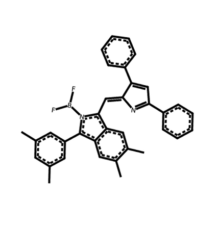 Cc1cc(C)cc(-c2c3cc(C)c(C)cc3c(/C=C3\N=C(c4ccccc4)C=C3c3ccccc3)n2B(F)F)c1